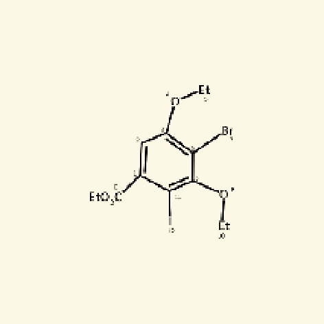 CCOC(=O)c1cc(OCC)c(Br)c(OCC)c1I